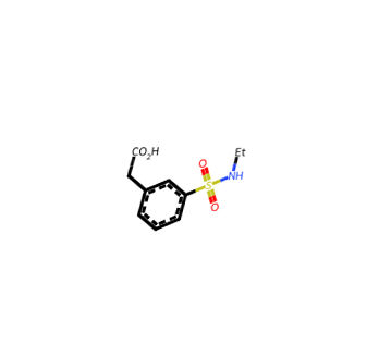 CCNS(=O)(=O)c1cccc(CC(=O)O)c1